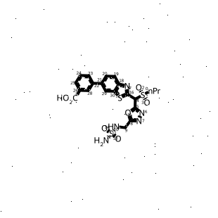 CCCS(=O)(=O)C(c1nnc(CNS(N)(=O)=O)o1)c1nc2ccc(-c3cccc(C(=O)O)c3)cc2s1